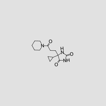 O=C1NC(=O)C(CCC(=O)N2CCCCC2)(C2CC2)N1